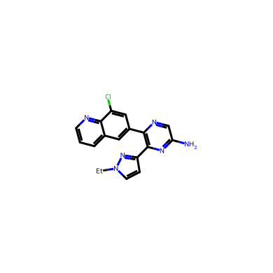 CCn1ccc(-c2nc(N)cnc2-c2cc(Cl)c3ncccc3c2)n1